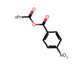 CCCC(=O)OC(=O)c1ccc([N+](=O)[O-])cc1